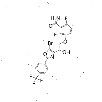 NC(=O)c1c(F)ccc(OCC(O)c2nc(-c3ccc(C(F)(F)F)cc3)oc2Br)c1F